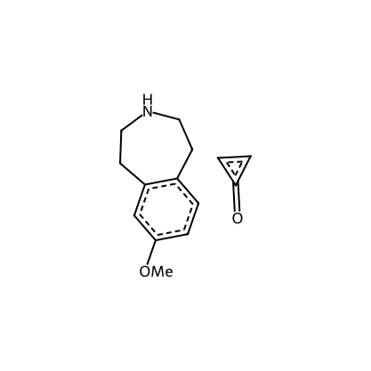 COc1ccc2c(c1)CCNCC2.O=c1cc1